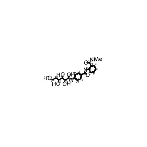 CNC(=O)c1cccc2oc(-c3ccc(OC(O)C(O)C(O)C(O)CCO)cc3)nc12